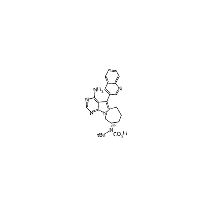 CC(C)(C)N(C(=O)O)[C@H]1CCCc2c(-c3cnc4ccccc4c3)c3c(N)ncnc3n2C1